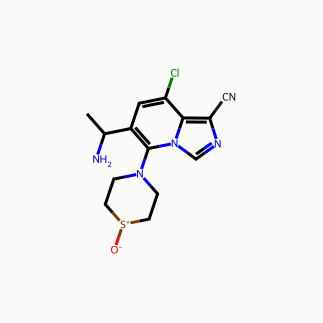 CC(N)c1cc(Cl)c2c(C#N)ncn2c1N1CC[S+]([O-])CC1